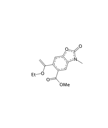 C=C(OCC)c1cc2oc(=O)n(C)c2cc1C(=O)OC